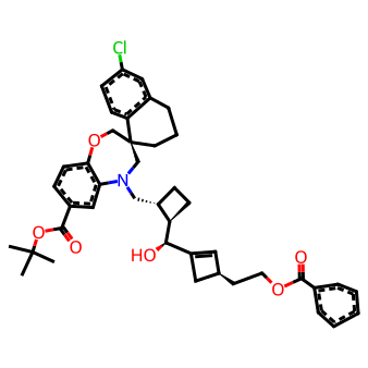 CC(C)(C)OC(=O)c1ccc2c(c1)N(C[C@@H]1CC[C@H]1[C@H](O)C1=C[C@@H](CCOC(=O)c3ccccc3)C1)C[C@@]1(CCCc3cc(Cl)ccc31)CO2